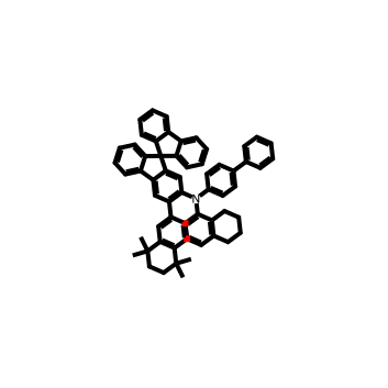 Cc1cc2c(cc1-c1cc3c(cc1N(c1ccc(-c4ccccc4)cc1)c1cccc4c1CCCC4)C1(c4ccccc4-c4ccccc41)c1ccccc1-3)C(C)(C)CCC2(C)C